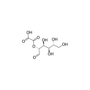 O=C[C@H](OC(=O)C(=O)O)[C@@H](O)[C@H](O)[C@H](O)CO